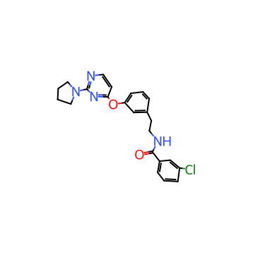 O=C(NCCc1cccc(Oc2ccnc(N3CCCC3)n2)c1)c1cccc(Cl)c1